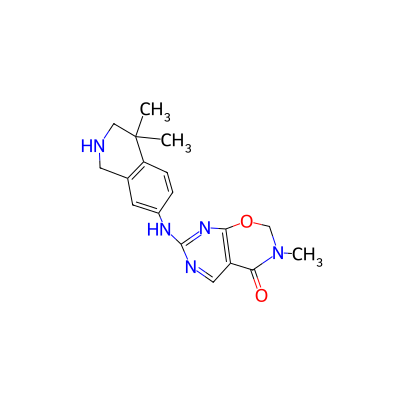 CN1COc2nc(Nc3ccc4c(c3)CNCC4(C)C)ncc2C1=O